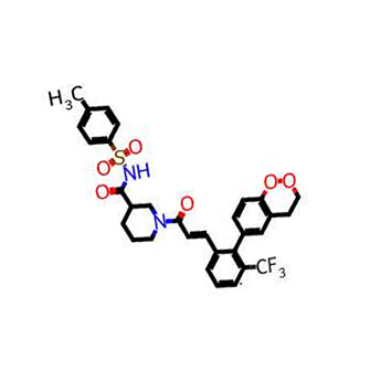 Cc1ccc(S(=O)(=O)NC(=O)C2CCCN(C(=O)/C=C/c3cc[c]c(C(F)(F)F)c3-c3ccc4c(c3)CCOO4)C2)cc1